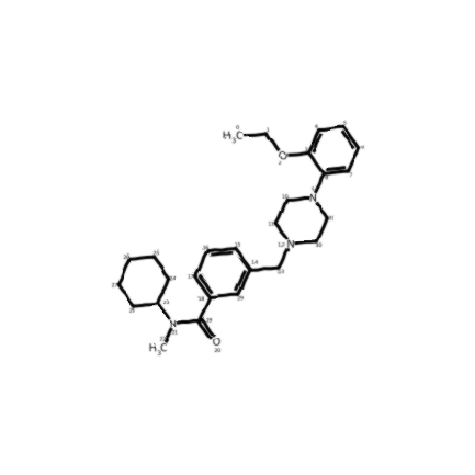 CCOc1ccccc1N1CCN(Cc2cccc(C(=O)N(C)C3CCCCC3)c2)CC1